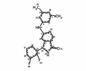 Cc1cc(Nc2cc3c(cn2)c(=O)[nH]n3-c2cccc(F)c2F)nc(C)n1